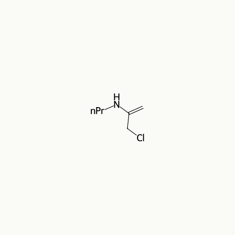 C=C(CCl)NCCC